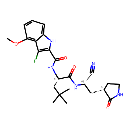 COc1cccc2[nH]c(C(=O)N[C@@H](CC(C)(C)C)C(=O)N[C@H](C#N)C[C@@H]3CCNC3=O)c(F)c12